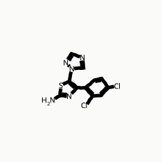 Nc1nc(-c2ccc(Cl)cc2Cl)c(-n2cncn2)s1